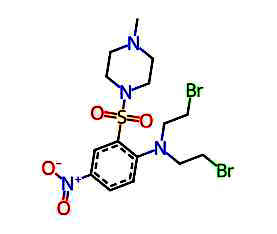 CN1CCN(S(=O)(=O)c2cc([N+](=O)[O-])ccc2N(CCBr)CCBr)CC1